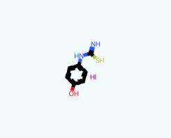 I.N=C(S)Nc1ccc(O)cc1